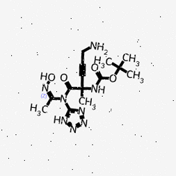 C/C(=N/O)N(C(=O)C(C)(C#CCN)NC(=O)OC(C)(C)C)c1nnn[nH]1